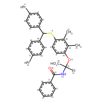 CCCc1ccc(C(Sc2ccc(OC(CC)(NC(=O)c3ccccc3)C(=O)O)c(C)c2C)c2ccc(CCC)cc2)cc1